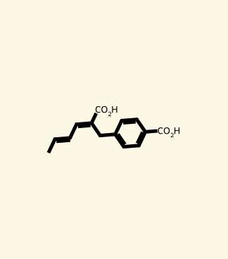 C/C=C/C=C(\Cc1ccc(C(=O)O)cc1)C(=O)O